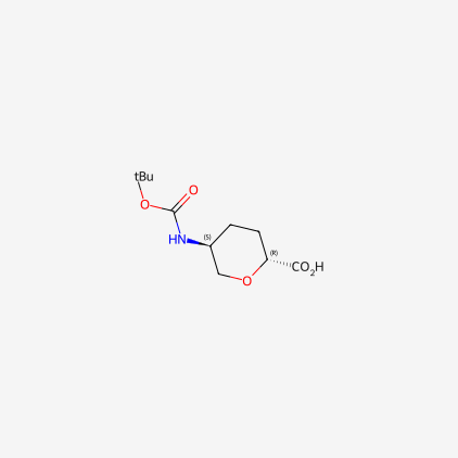 CC(C)(C)OC(=O)N[C@H]1CC[C@H](C(=O)O)OC1